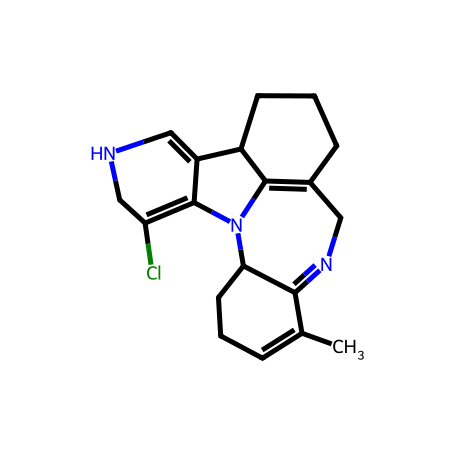 CC1=CCCC2C1=NCC1=C3C(CCC1)C1=CNCC(Cl)=C1N32